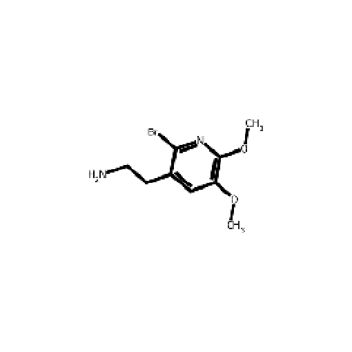 COc1cc(CCN)c(Br)nc1OC